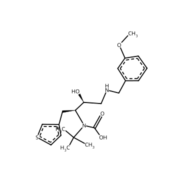 COc1cccc(CNC[C@H](O)[C@H](Cc2ccsc2)N(C(=O)O)C(C)(C)C)c1